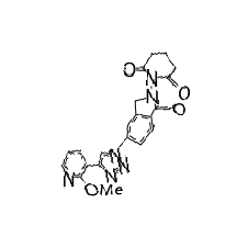 COc1ncccc1-c1cn(-c2ccc3c(c2)CN(N2C(=O)CCCC2=O)C3=O)nn1